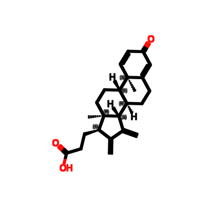 C=C1C(=C)[C@H]2[C@@H]3CCC4=CC(=O)C=C[C@]4(C)[C@H]3CC[C@]2(C)[C@@H]1CCC(=O)O